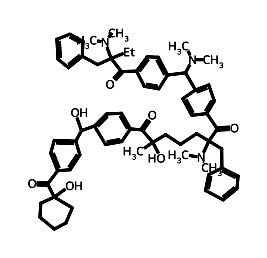 CCC(Cc1ccccc1)(C(=O)c1ccc(C(c2ccc(C(=O)C(CCCC(C)(O)C(=O)c3ccc(C(O)c4ccc(C(=O)C5(O)CCCCC5)cc4)cc3)(Cc3ccccc3)N(C)C)cc2)N(C)C)cc1)N(C)C